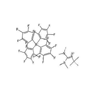 CN(C)C(=[NH+]C(C)(C)C)N(C)C.Fc1c(F)c(F)c([B-](c2c(F)c(F)c(F)c(F)c2F)(c2c(F)c(F)c(F)c(F)c2F)c2c(F)c(F)c(F)c(F)c2F)c(F)c1F